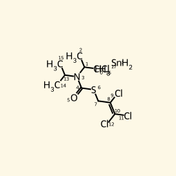 CC(C)N(C(=O)SCC(Cl)=C(Cl)Cl)C(C)C.Cl.[SnH2]